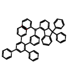 c1ccc(-c2cc(-c3ccccc3)c(-c3cccc(N(c4ccccc4)c4cccc5c4-c4ccccc4C5(c4ccccc4)c4ccccc4)c3)c(-c3ccccc3)c2)cc1